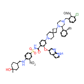 COc1c(Cl)cccc1CN1CCN(C2CC3(CCN(c4ccc(C(=O)NS(=O)(=O)c5ccc(NCC6CCC(C)(O)CC6)c([N+](=O)[O-])c5)c(Oc5cnc6[nH]ccc6c5)c4)CC3)C2)C(c2ccccc2C(C)C)C1